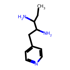 CCC(N)C(N)Cc1ccncc1